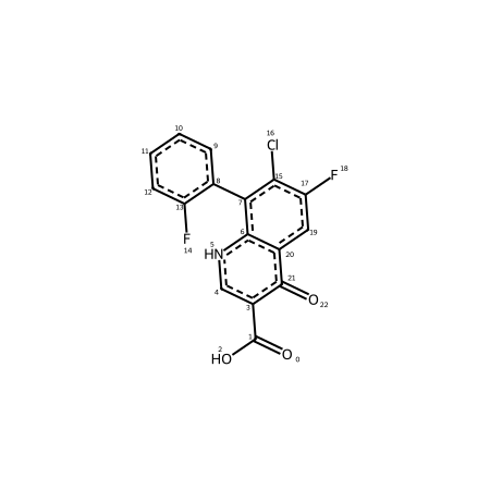 O=C(O)c1c[nH]c2c(-c3ccccc3F)c(Cl)c(F)cc2c1=O